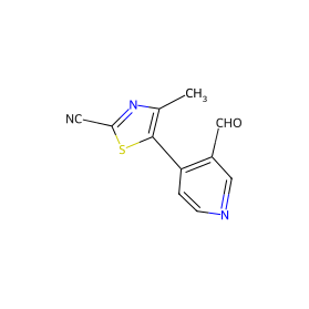 Cc1nc(C#N)sc1-c1ccncc1C=O